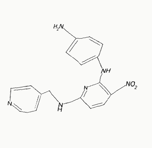 Nc1ccc(Nc2nc(NCc3ccncc3)ccc2[N+](=O)[O-])cc1